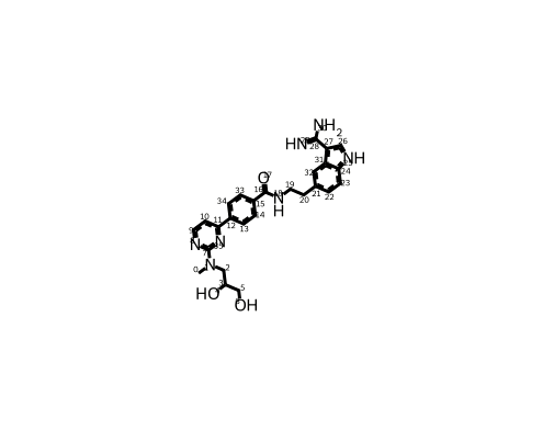 CN(CC(O)CO)c1nccc(-c2ccc(C(=O)NCCc3ccc4[nH]cc(C(=N)N)c4c3)cc2)n1